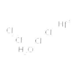 O.[Cl-].[Cl-].[Cl-].[Cl-].[Hf+4]